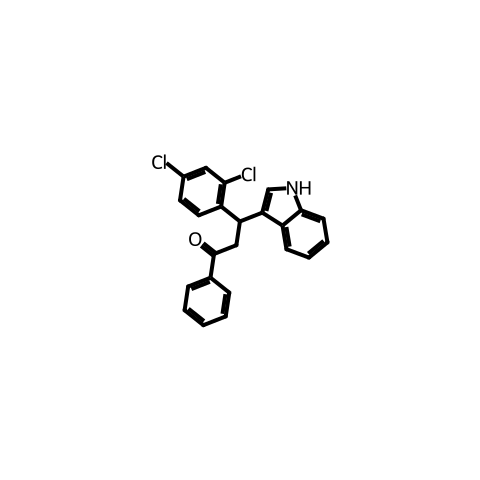 O=C(CC(c1ccc(Cl)cc1Cl)c1c[nH]c2ccccc12)c1ccccc1